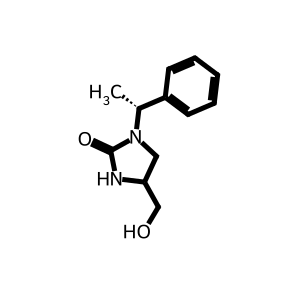 C[C@H](c1ccccc1)N1CC(CO)NC1=O